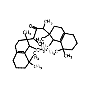 CC(C(=O)C(C)C1(C)CCC2=C(C1C)C(C)(C)CCC2)C1(C)CCC2=C(C1C)C(C)(C)CCC2